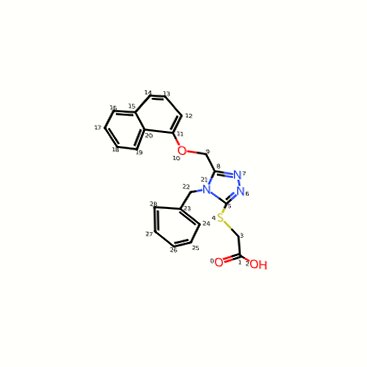 O=C(O)CSc1nnc(COc2cccc3ccccc23)n1Cc1ccccc1